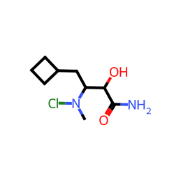 CN(Cl)C(CC1CCC1)C(O)C(N)=O